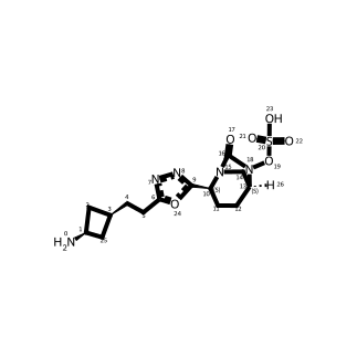 N[C@H]1C[C@@H](CCc2nnc([C@@H]3CC[C@H]4CN3C(=O)N4OS(=O)(=O)O)o2)C1